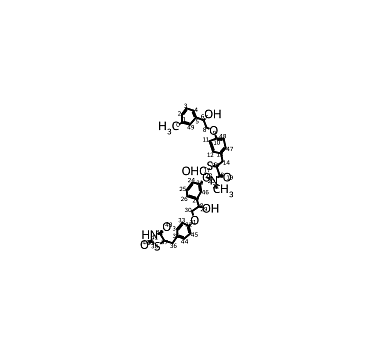 Cc1cccc(C(O)COc2ccc(CC(SC=O)C(=O)N(C)Oc3cccc(C(O)COc4ccc(CC5SC(=O)NC5=O)cc4)c3)cc2)c1